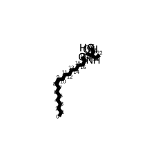 CCCCCCCC/C=C\CCCCCCCC(=O)NC(CC)(CO)CO